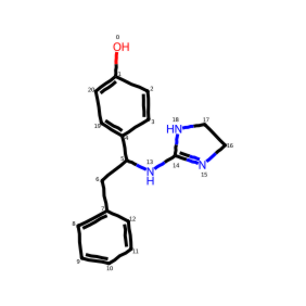 Oc1ccc(C(Cc2ccccc2)NC2=NCCN2)cc1